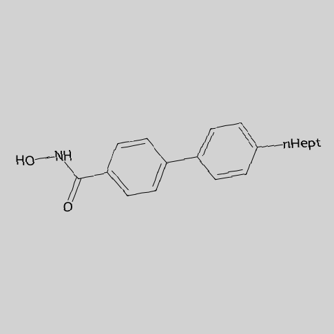 CCCCCCCc1ccc(-c2ccc(C(=O)NO)cc2)cc1